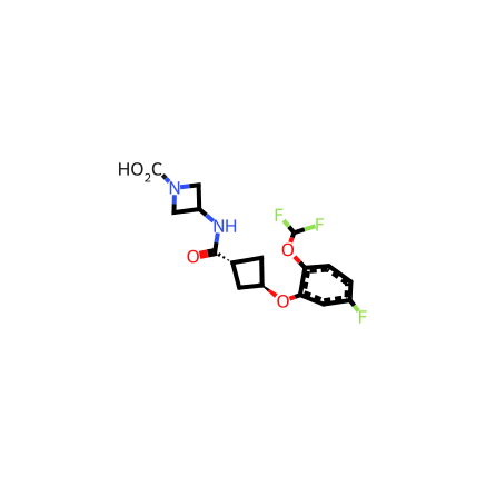 O=C(O)N1CC(NC(=O)[C@H]2C[C@H](Oc3cc(F)ccc3OC(F)F)C2)C1